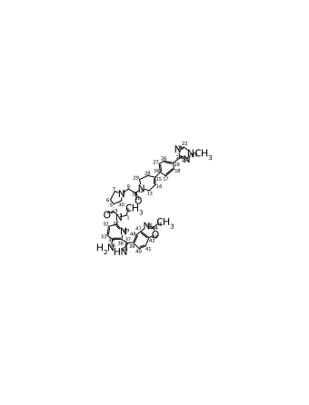 CCN(C(=O)[C@@H]1CCN(CC(=O)N2CC=C(c3ccc(-c4ncn(C)n4)cc3)CC2)C1)c1ccc(N)c(C(=N)c2ccc3oc(C)nc3c2)n1